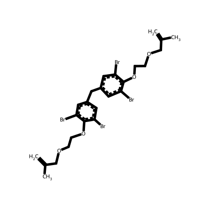 C=C(C)COCCOc1c(Br)cc(Cc2cc(Br)c(OCCOCC(=C)C)c(Br)c2)cc1Br